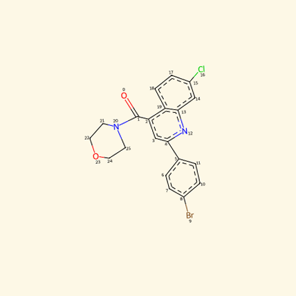 O=C(c1cc(-c2ccc(Br)cc2)nc2cc(Cl)ccc12)N1CCOCC1